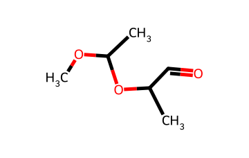 COC(C)OC(C)C=O